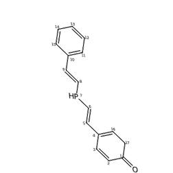 O=C1C=CC(C=CPC=Cc2ccccc2)=CC1